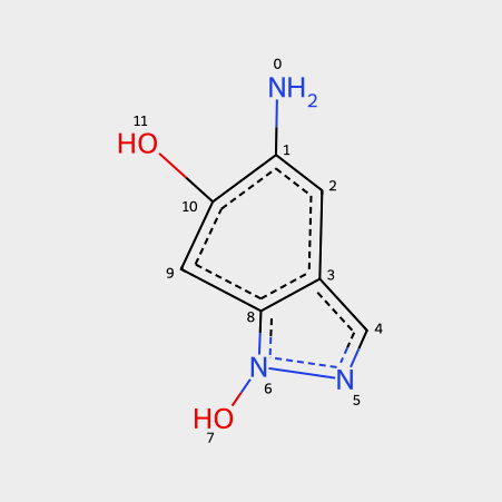 Nc1cc2cnn(O)c2cc1O